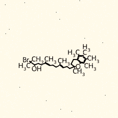 C/C(=C\CC[C@]1(C)CCc2c(C)c(C)c(C)c(C)c2O1)CC/C=C(\C)CCC(O)C(C)(C)Br